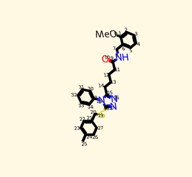 COc1ccccc1CNC(=O)CCCCc1nnc(SCC2=CC=C(C)CC2)n1-c1ccccc1